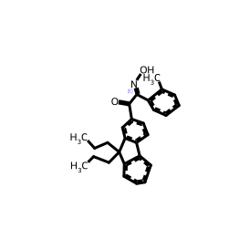 CCCC1(CCC)c2ccccc2-c2ccc(C(=O)/C(=N/O)c3ccccc3C)cc21